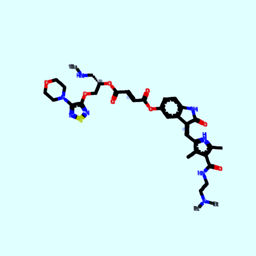 CCN(CC)CCNC(=O)c1c(C)[nH]c(/C=C2\C(=O)Nc3ccc(OC(=O)/C=C/C(=O)O[C@@H](CNC(C)(C)C)COc4nsnc4N4CCOCC4)cc32)c1C